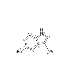 CC(C)c1c[nH]c2ncc(C(C)(C)C)cc12